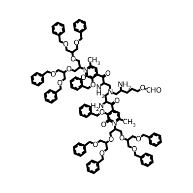 Cc1cc(C(=O)C(N)CN(CC(N)CCCOC=O)CC(N)C(=O)c2cc(C)n(C(COC(COCc3ccccc3)COCc3ccccc3)COC(COCc3ccccc3)COCc3ccccc3)c(=O)c2OCc2ccccc2)c(OCc2ccccc2)c(=O)n1C(COC(COCc1ccccc1)COCc1ccccc1)COC(COCc1ccccc1)COCc1ccccc1